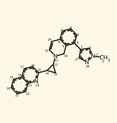 Cn1cc(-c2cccc3c2CN(C2CC2c2ccc4ccccc4n2)C=C3)cn1